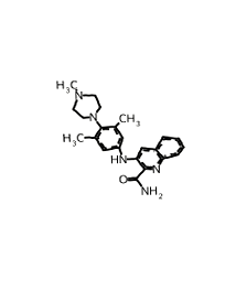 Cc1cc(Nc2cc3ccccc3nc2C(N)=O)cc(C)c1N1CCN(C)CC1